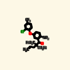 C=CCC(C(=O)OCC)(C(=O)OCC)C(=O)c1cc(Oc2ccc(C(F)(F)F)cc2Cl)ccc1[N+](=O)[O-]